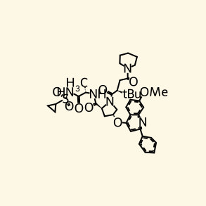 COc1ccc2c(O[C@@H]3C[C@@H](C(=O)N[C@@H](C)C(=O)NS(=O)(=O)C4CC4)N(C(=O)[C@@H](CC(=O)N4CCCCC4)C(C)(C)C)C3)cc(-c3ccccc3)nc2c1